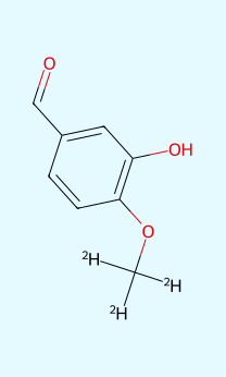 [2H]C([2H])([2H])Oc1ccc(C=O)cc1O